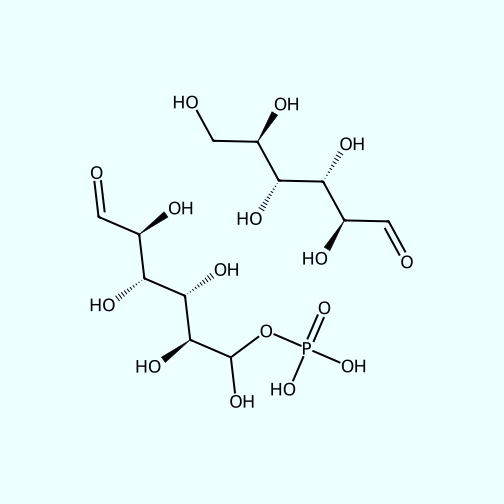 O=C[C@@H](O)[C@@H](O)[C@H](O)[C@H](O)C(O)OP(=O)(O)O.O=C[C@@H](O)[C@@H](O)[C@H](O)[C@H](O)CO